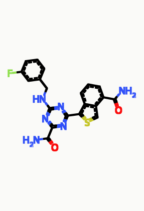 NC(=O)c1nc(NCc2cccc(F)c2)nc(-c2scc3c(C(N)=O)cccc23)n1